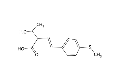 CSc1ccc(/C=C/C(C(=O)O)C(C)C)cc1